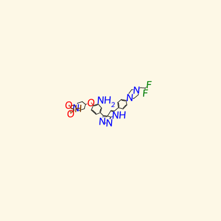 Nc1cc(-c2ncnc3[nH]c(-c4ccc(N5CCN(CC(F)F)CC5)cc4)cc23)ccc1OC1CCN([SH](=O)=O)CC1